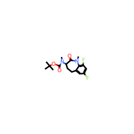 CN1C(=O)C(N(C)C(=O)OC(C)(C)C)CCc2cc(F)cc(F)c21